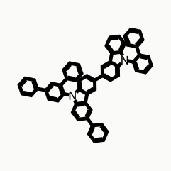 c1ccc(-c2ccc(-n3c4ccc(-c5ccccc5)cc4c4cc(-c5ccc6c(c5)c5ccccc5n6-c5ccccc5-c5ccccc5)ccc43)c(-c3ccccc3)c2)cc1